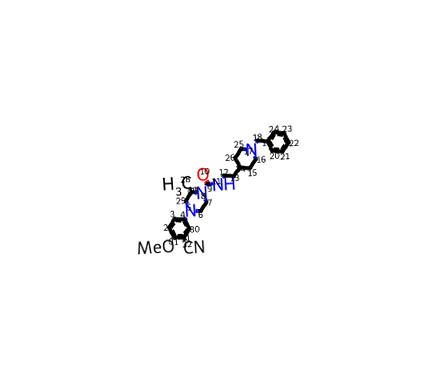 COc1ccc(N2CCN(C(=O)NCCC3CCN(Cc4ccccc4)CC3)[C@H](C)C2)cc1C#N